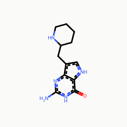 Nc1nc2c(CC3CCCCN3)c[nH]c2c(=O)[nH]1